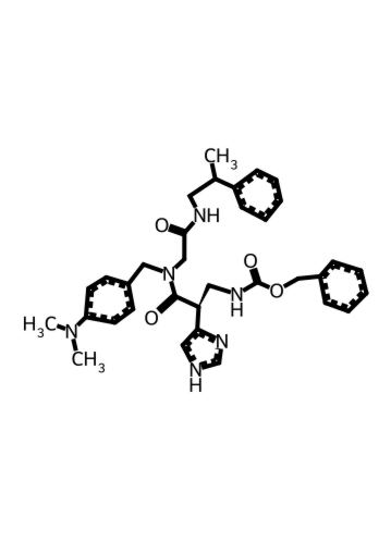 CC(CNC(=O)CN(Cc1ccc(N(C)C)cc1)C(=O)[C@@H](CNC(=O)OCc1ccccc1)c1c[nH]cn1)c1ccccc1